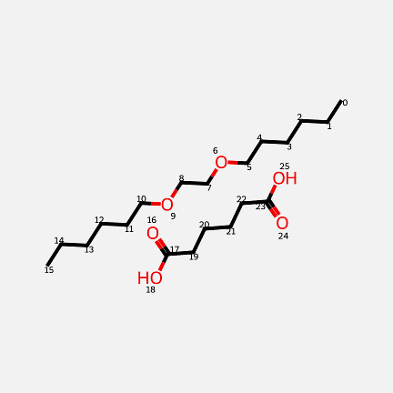 CCCCCCOCCOCCCCCC.O=C(O)CCCCC(=O)O